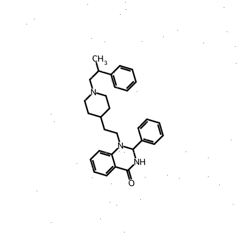 CC(CN1CCC(CCN2c3ccccc3C(=O)NC2c2ccccc2)CC1)c1ccccc1